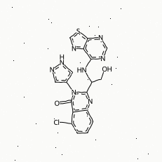 O=c1c2c(Cl)cccc2nc(C(CO)Nc2ncnc3scnc23)n1-c1cn[nH]c1